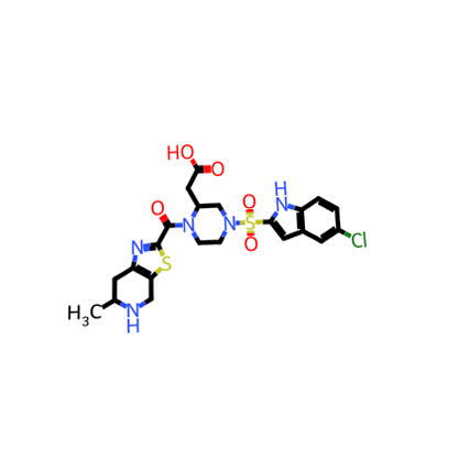 CC1Cc2nc(C(=O)N3CCN(S(=O)(=O)c4cc5cc(Cl)ccc5[nH]4)CC3CC(=O)O)sc2CN1